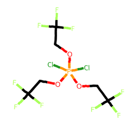 FC(F)(F)COP(Cl)(Cl)(OCC(F)(F)F)OCC(F)(F)F